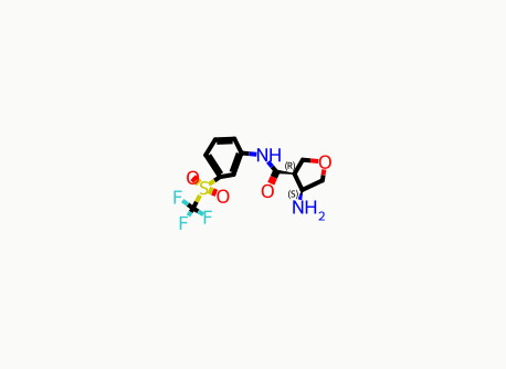 N[C@@H]1COC[C@@H]1C(=O)Nc1cccc(S(=O)(=O)C(F)(F)F)c1